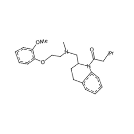 COc1ccccc1OCCN(C)CC1CCc2ccccc2N1C(=O)CC(C)C